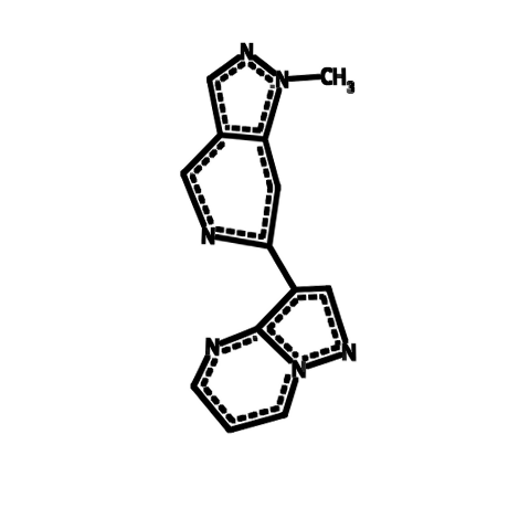 Cn1ncc2cnc(-c3cnn4cccnc34)cc21